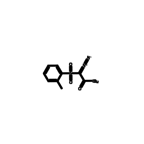 Cc1ccccc1S(=O)(=O)C(=[N+]=[N-])C(=O)C(C)(C)C